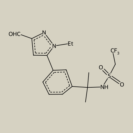 CCn1nc(C=O)cc1-c1cccc(C(C)(C)NS(=O)(=O)CC(F)(F)F)c1